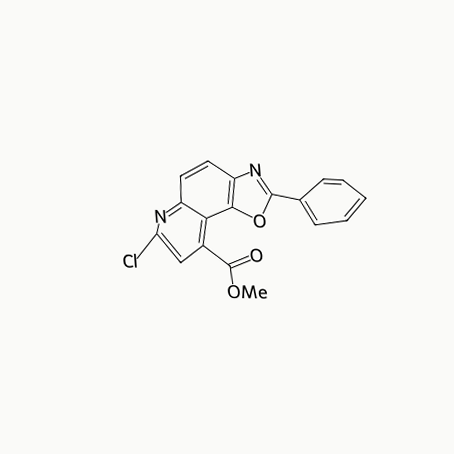 COC(=O)c1cc(Cl)nc2ccc3nc(-c4ccccc4)oc3c12